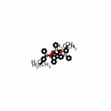 CC(C)(C)c1ccc(N(c2ccccc2)c2ccc3c(c2)C2(c4ccccc4N(c4ccccc4)c4ccccc42)c2c-3c3ccccc3c3cc(N(c4ccccc4)c4ccc(C(C)(C)C)cc4)ccc23)cc1